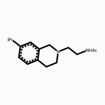 CC(=O)NCCN1CCc2ccc(C(C)C)cc2C1